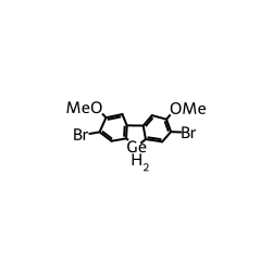 COc1cc2[c](cc1Br)[GeH2][c]1cc(Br)c(OC)cc1-2